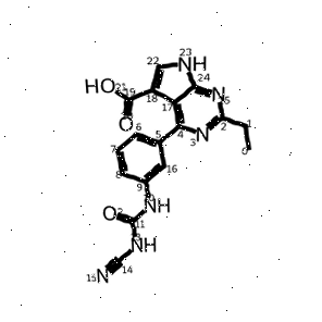 CCc1nc(-c2cccc(NC(=O)NC#N)c2)c2c(C(=O)O)c[nH]c2n1